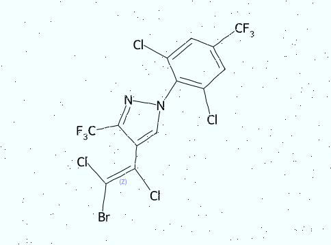 FC(F)(F)c1cc(Cl)c(-n2cc(/C(Cl)=C(\Cl)Br)c(C(F)(F)F)n2)c(Cl)c1